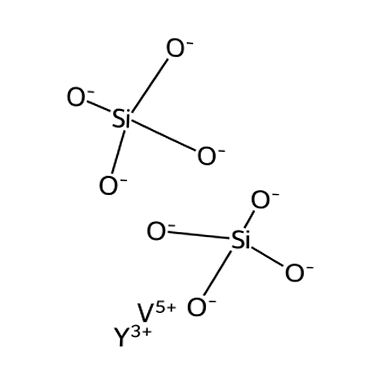 [O-][Si]([O-])([O-])[O-].[O-][Si]([O-])([O-])[O-].[V+5].[Y+3]